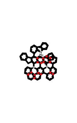 Cc1c(C)c(N(c2ccccc2-c2ccccc2)c2c(-c3ccccc3)cc(-c3ccccc3)c(N(c3ccccc3)c3ccccc3-c3ccccc3)c2-c2cccc3c2[nH]c2ccccc23)c2c(c1-c1cccc3c1[nH]c1ccccc13)-c1ccccc1C2